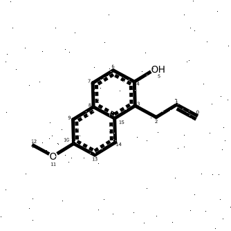 C=CCc1c(O)ccc2cc(OC)ccc12